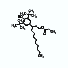 CCCCCCCCCC(CCOC(=O)CC)c1cc(C(C)(C)C)c(O)c(C(C)(C)C)c1